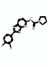 O=C(Nc1ccc2sc(-c3ccc(F)c(F)c3)nc2n1)N1CCCC1